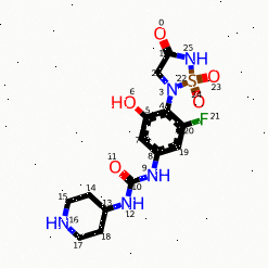 O=C1CN(c2c(O)cc(NC(=O)NC3CCNCC3)cc2F)S(=O)(=O)N1